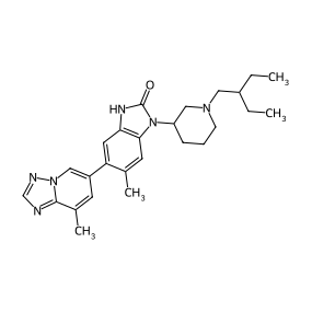 CCC(CC)CN1CCCC(n2c(=O)[nH]c3cc(-c4cc(C)c5ncnn5c4)c(C)cc32)C1